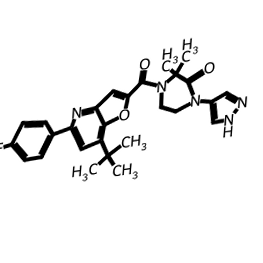 CC(C)(C)c1cc(-c2ccc(F)cc2)nc2cc(C(=O)N3CCN(c4cn[nH]c4)C(=O)C3(C)C)oc12